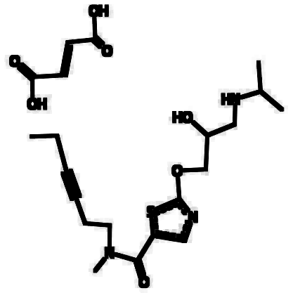 CCC#CCCN(C)C(=O)c1cnc(OCC(O)CNC(C)C)s1.O=C(O)C=CC(=O)O